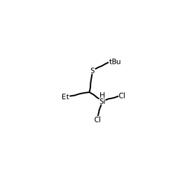 CCC(SC(C)(C)C)[SiH](Cl)Cl